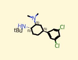 CN(C)[C@H]1C[C@@H](c2cc(Cl)cc(Cl)c2)CC[C@@H]1NC(C)(C)C